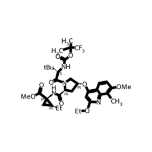 CCOc1cc(O[C@@H]2C[C@@H](C(=O)N[C@]3(C(=O)OC)C[C@H]3CC)N(C(=O)[C@@H](NC(=O)OC(C)(C)C(F)(F)F)C(C)(C)C)C2)c2ccc(OC)c(C)c2n1